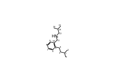 CC(C)CCc1[c]cccc1CNCC(C)C